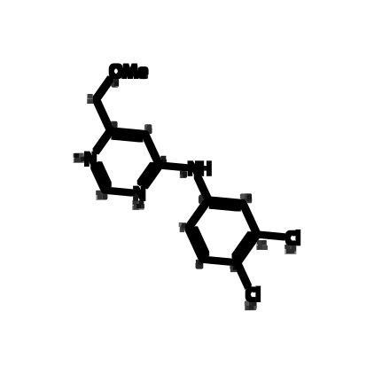 COCc1cc(Nc2ccc(Cl)c(Cl)c2)ncn1